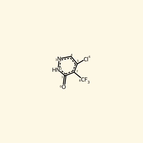 O=c1[nH]ncc(Cl)c1C(F)(F)F